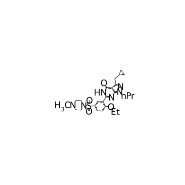 CCCn1nc(CC2CC2)c2c(=O)[nH]c(-c3cc(S(=O)(=O)N4CCN(C)CC4)ccc3OCC)nc21